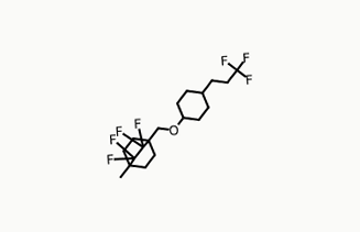 CC12CCC(COC3CCC(CCC(F)(F)F)CC3)(CC1)C(F)(F)C2(F)F